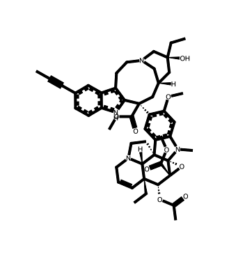 CC#Cc1ccc2[nH]c3c(c2c1)CCN1C[C@H](C[C@@](O)(CC)C1)C[C@]3(C(=O)OC)c1cc2c(cc1OC)N(C)[C@@]13O[C@]1(C(=O)OC)[C@H](OC(C)=O)[C@]1(CC)C=CCN4CC[C@]23[C@@H]41